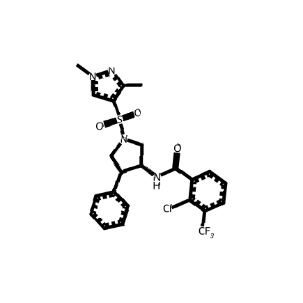 Cc1nn(C)cc1S(=O)(=O)N1CC(NC(=O)c2cccc(C(F)(F)F)c2Cl)C(c2ccccc2)C1